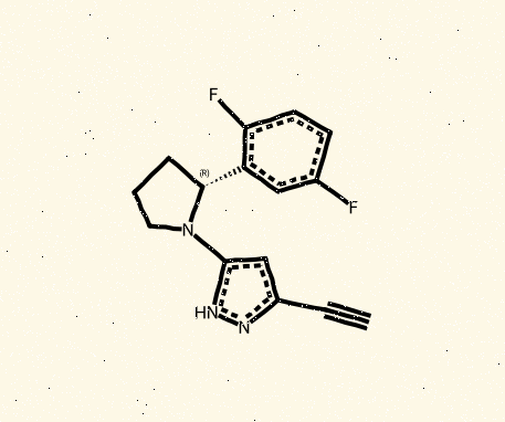 C#Cc1cc(N2CCC[C@@H]2c2cc(F)ccc2F)[nH]n1